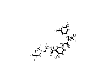 C[C@H](C[S+]([O-])CC(F)(F)F)NC(=O)c1cc(NC(=O)[C@H]2[C@H](c3cc(Cl)cc(Cl)c3)C2(Cl)Cl)ccc1Cl